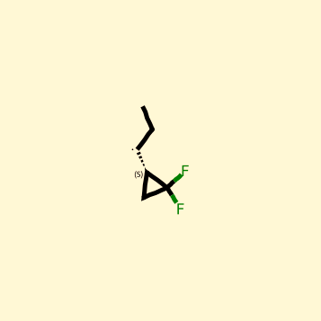 CC[CH][C@H]1CC1(F)F